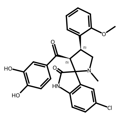 COc1ccccc1[C@H]1CN(C)C2(C(=O)Nc3ccc(Cl)cc32)[C@H]1C(=O)c1ccc(O)c(O)c1